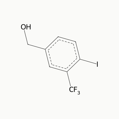 OCc1ccc(I)c(C(F)(F)F)c1